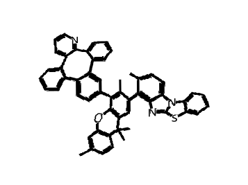 Cc1ccc2c(c1)Oc1c(cc(-c3c(C)ccc4c3nc3sc5ccccc5n34)c(C)c1-c1ccc3c(c1)-c1ccccc1-c1ncccc1-c1ccccc1-3)C2(C)C